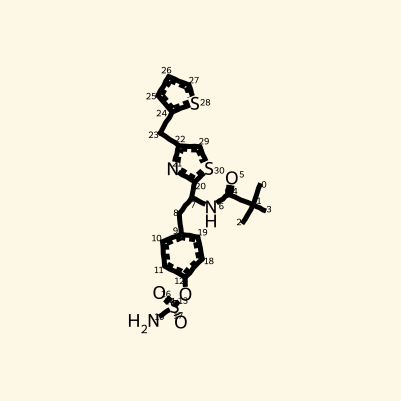 CC(C)(C)C(=O)NC(Cc1ccc(OS(N)(=O)=O)cc1)c1nc(Cc2cccs2)cs1